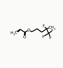 C=CC(=O)OCCCC(C)(F)C(F)(F)F